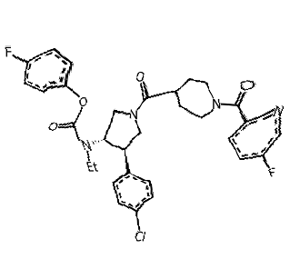 CCN(C(=O)Oc1ccc(F)cc1)[C@@H]1CN(C(=O)C2CCN(C(=O)c3ccc(F)cn3)CC2)C[C@H]1c1ccc(Cl)cc1